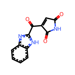 O=C1C=C(C(=O)c2nc3ccccc3[nH]2)C(=O)N1